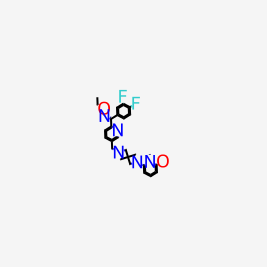 CCO/N=C(\c1ccc(F)c(F)c1)c1ccc(CN2CC3(C2)CN(c2cccc(=O)n2C)C3)cn1